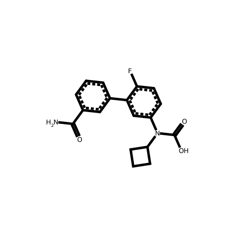 NC(=O)c1cccc(-c2cc(N(C(=O)O)C3CCC3)ccc2F)c1